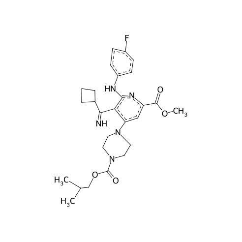 COC(=O)c1cc(N2CCN(C(=O)OCC(C)C)CC2)c(C(=N)C2CCC2)c(Nc2ccc(F)cc2)n1